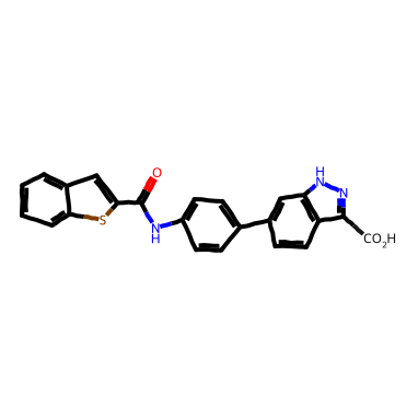 O=C(Nc1ccc(-c2ccc3c(C(=O)O)n[nH]c3c2)cc1)c1cc2ccccc2s1